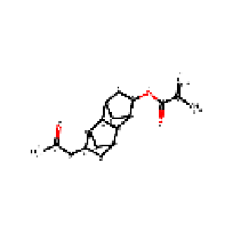 C=C(C)C(=O)OC1CC2CC1C1C3CC(CC(C)=O)C(C3)C21